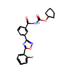 O=C(NC(=O)c1cccc(-c2noc(-c3ccccc3F)n2)c1)OC1CCCC1